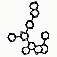 C1=CC2=CC(C(c3ccccc3)=C1)c1cc(-c3cc(-c4ccc(-c5ccc6ccccc6c5)cc4)nc(-c4ccccc4)n3)c3ccccc3c1O2